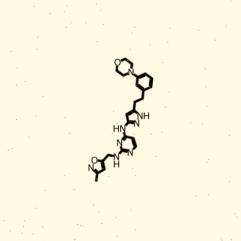 Cc1cc(CNc2nccc(Nc3cc(CCc4cccc(N5CCOCC5)c4)[nH]n3)n2)on1